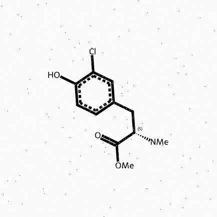 CN[C@@H](Cc1ccc(O)c(Cl)c1)C(=O)OC